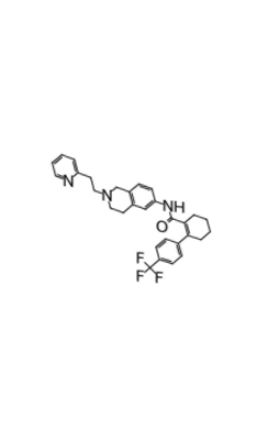 O=C(Nc1ccc2c(c1)CCN(CCc1ccccn1)C2)C1=C(c2ccc(C(F)(F)F)cc2)CCCC1